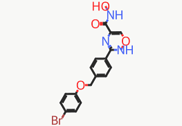 O=C(NO)C1=CONC(c2ccc(COc3ccc(Br)cc3)cc2)=N1